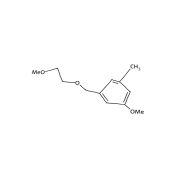 COCCOCc1cc(C)cc(OC)c1